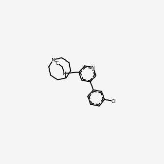 Clc1cccc(-c2cncc(N3CCN4CCCC3CCC4)c2)c1